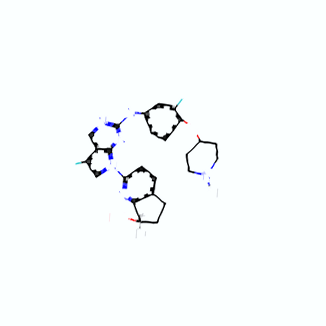 CC[C@@]1(O)CCc2ccc(-n3cc(F)c4cnc(Nc5ccc(OC6CCN(C)CC6)c(F)c5)nc43)nc21